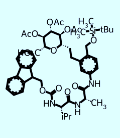 CC(=O)O[C@@H]1[C@@H](OC(C)=O)[C@H](CCc2cc(NC(=O)[C@H](C)NC(=O)[C@@H](NC(=O)OCC3c4ccccc4-c4ccccc43)C(C)C)ccc2CO[Si](C)(C)C(C)(C)C)O[C@H](C(=O)O)[C@H]1OC(C)=O